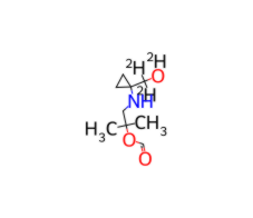 [2H]OC([2H])([2H])C1(NCC(C)(C)OC=O)CC1